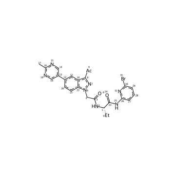 CC[C@H](NC(=O)Cn1nc(C(C)=O)c2cc(-c3cnc(C)nc3)ccc21)C(=O)Nc1cccc(Br)n1